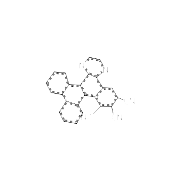 N#Cc1cc2c3nccnc3c3c4ccccc4c4ccccc4c3c2c(C#N)c1C#N